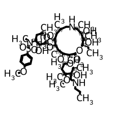 CCCNC[C@]1(O)[C@H](C)O[C@@H](O[C@H]2[C@H](C)[C@@H](O[C@@H]3O[C@H](C)C[C@H](N(C)S(=O)(=O)c4ccc(OC)cc4)[C@H]3O)[C@](C)(O)C[C@@H](C)CN[C@H](C)[C@@H](O)[C@](C)(O)[C@@H](CC)OC(=O)[C@@H]2C)C[C@@]1(C)OC